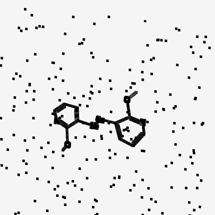 COc1ncccc1[Se][Se]c1cccnc1OC